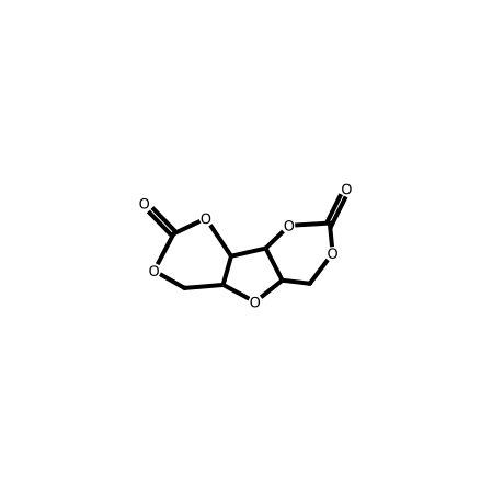 O=C1OCC2OC3COC(=O)OC3C2O1